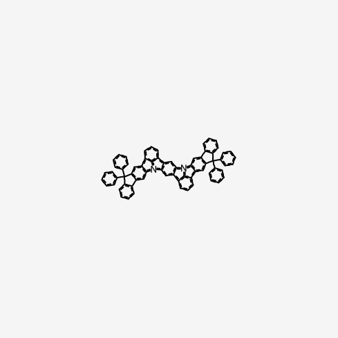 c1ccc(C2(c3ccccc3)c3ccccc3-c3cc4c(cc32)c2cccc3c5cc6c(cc5n4c23)c2cccc3c4cc5c(cc4n6c32)-c2ccccc2C5(c2ccccc2)c2ccccc2)cc1